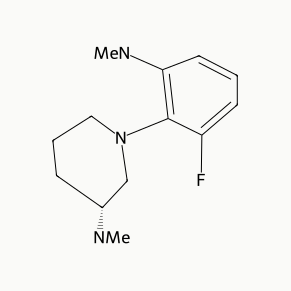 CNc1cccc(F)c1N1CCC[C@@H](NC)C1